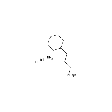 CCCCCCCCCCN1CCOCC1.Cl.N.[HH]